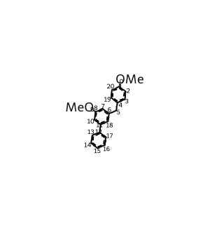 COc1ccc(Cc2cc(OC)cc(-c3ccccc3)c2)cc1